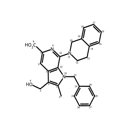 Cc1c(CO)c2cc(C(=O)O)nc(N3CCc4ccccc4C3)c2n1Cc1ccccc1